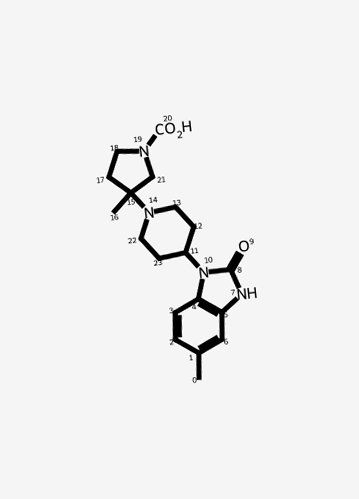 Cc1ccc2c(c1)[nH]c(=O)n2C1CCN(C2(C)CCN(C(=O)O)C2)CC1